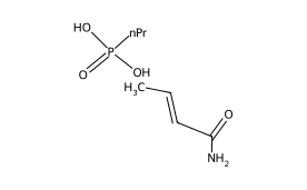 CC=CC(N)=O.CCCP(=O)(O)O